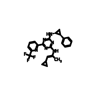 CC(=CC1CC1)Nc1nc(N[C@@H]2C[C@H]2c2ccccc2)nc(-c2cccc(C(F)(F)F)n2)n1